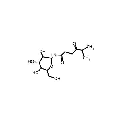 CC(C)C(=O)CCC(=O)N[C@@H]1OC(CO)[C@@H](O)[C@H](O)C1O